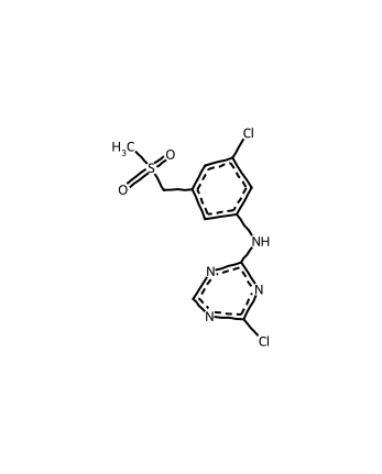 CS(=O)(=O)Cc1cc(Cl)cc(Nc2ncnc(Cl)n2)c1